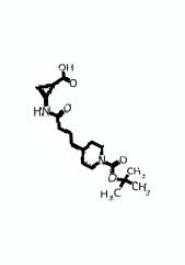 CC(C)(C)OC(=O)N1CCC(CCCC(=O)NC2CC2C(=O)O)CC1